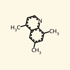 Cc1cc(C)c2nccc(C)c2c1